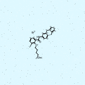 CCCCCCCCCCCCCCOc1c(F)cccc1C(=O)Nc1cccc(C[n+]2cscc2C)c1.[Br-]